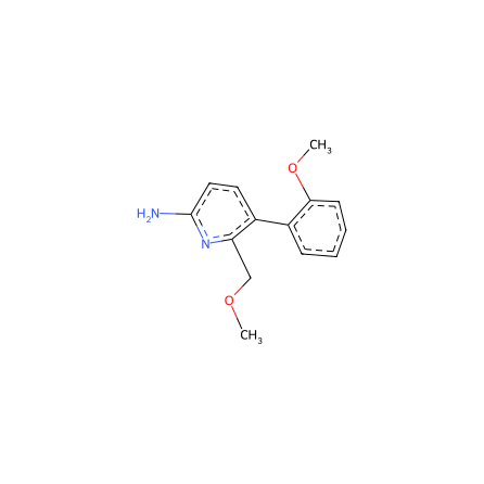 COCc1nc(N)ccc1-c1ccccc1OC